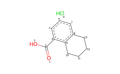 Cl.O=C(O)c1cccc2c1CCCC2